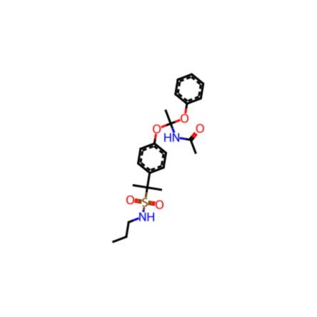 CCCNS(=O)(=O)C(C)(C)c1ccc(OC(C)(NC(C)=O)Oc2ccccc2)cc1